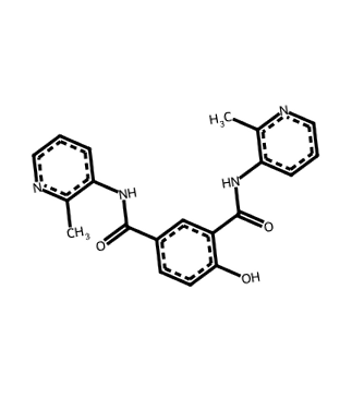 Cc1ncccc1NC(=O)c1ccc(O)c(C(=O)Nc2cccnc2C)c1